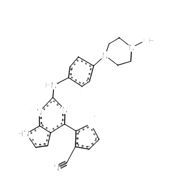 CN1CCN(c2ccc(Nc3nc(-c4sccc4C#N)c4cc[nH]c4n3)cc2)CC1